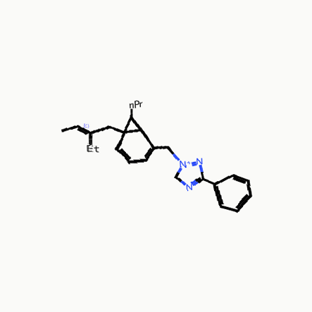 C/C=C(\CC)CC12C=CC=C(C[N+]3=NC(c4ccccc4)=NC3)C1C2CCC